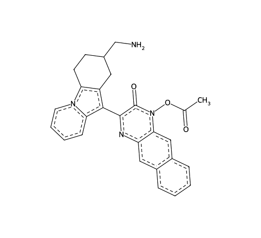 CC(=O)On1c(=O)c(-c2c3c(n4ccccc24)CCC(CN)C3)nc2cc3ccccc3cc21